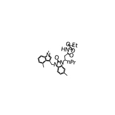 CCCC(CC(=O)NS(=O)(=O)CC)n1c(=O)n(Cc2cn(C)c3cccc(C)c23)c2ccc(C)cc21